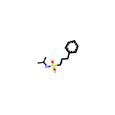 CC(C)NS(=O)(=O)CCCc1ccccc1